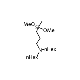 CCCCCCN(CCCCCC)CCC[Si](C)(OC)OC